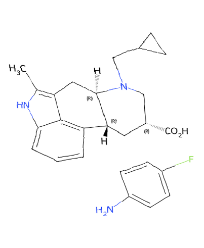 Cc1[nH]c2cccc3c2c1C[C@@H]1[C@@H]3C[C@@H](C(=O)O)CN1CC1CC1.Nc1ccc(F)cc1